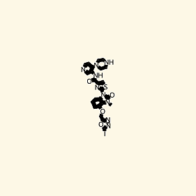 Cn1c(=O)n(-c2nc(C(=O)Nc3cnccc3N3CCNCC3)cs2)c2cccc(OCc3nnc(I)o3)c21